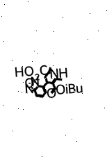 CC1=C(C(=O)OCC(C)C)C(c2cccc3nonc23)CC(C)(C(=O)O)N1